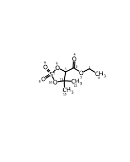 CCOC(=O)C1OS(=O)(=O)OC1(C)C